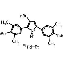 CCCCC1=C(c2cc(C)c(CCCC)c(C)c2)[N+](=[N-])C(c2cc(C)c(CCCC)c(C)c2)=C1.C[CH2][Pd][CH2]C